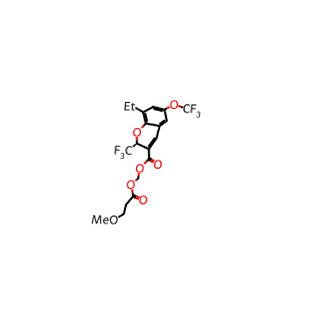 CCc1cc(OC(F)(F)F)cc2c1O[C@H](C(F)(F)F)C(C(=O)OCOC(=O)CCOC)=C2